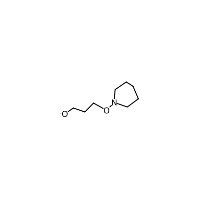 [O]CCCON1CCCCC1